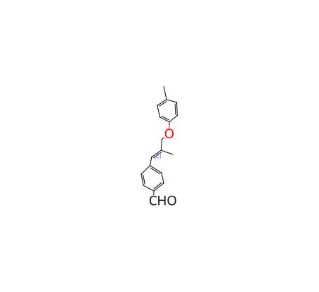 C/C(=C\c1ccc(C=O)cc1)COc1ccc(C)cc1